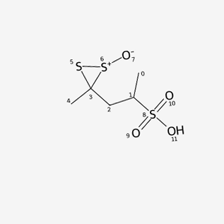 CC(CC1(C)S[S+]1[O-])S(=O)(=O)O